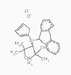 CC(C)(C)[C](=[Zr+2]([C]1=CC=CC1)[CH]1c2ccccc2-c2ccccc21)C(C)(C)C.[Cl-].[Cl-]